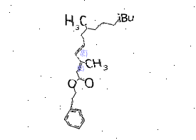 CCC(C)CCCC(C)C/C=C/C(C)=C/C(=O)OCCc1ccccc1